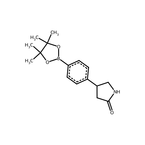 CC1(C)OB(c2ccc(C3CNC(=O)C3)cc2)OC1(C)C